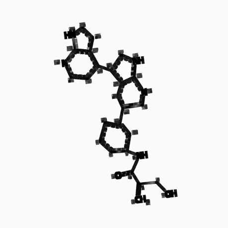 C=C(CO)C(=O)Nc1cccc(-c2cnc3[nH]cc(-c4ccnc5[nH]ccc45)c3c2)c1